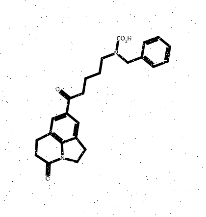 O=C(CCCCN(Cc1ccccc1)C(=O)O)c1cc2c3c(c1)CCN3C(=O)CC2